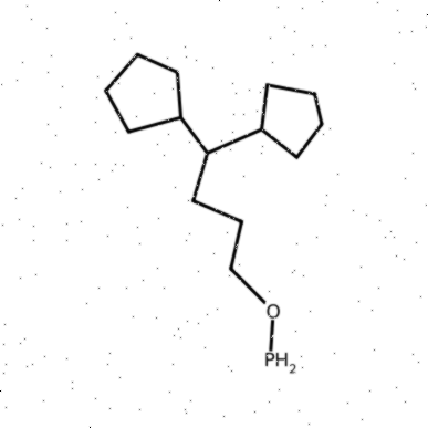 POCCCC(C1CCCC1)C1CCCC1